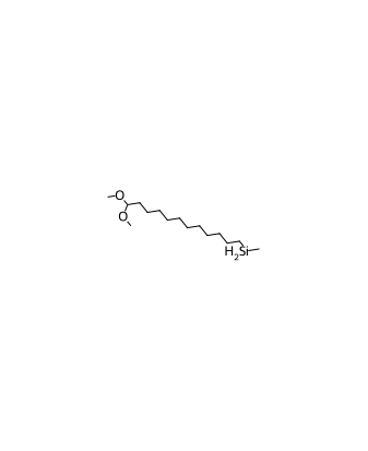 COC(CCCCCCCCCCC[SiH2]C)OC